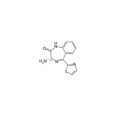 N[C@H]1N=C(c2nccs2)c2ccccc2NC1=O